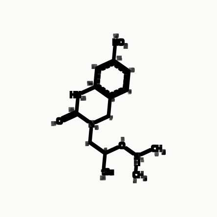 C[SiH](C)OC(CN1Cc2ccc([N+](=O)[O-])cc2NC1=O)C(C)(C)C